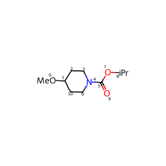 [CH2]OC1CCN(C(=O)OC(C)C)CC1